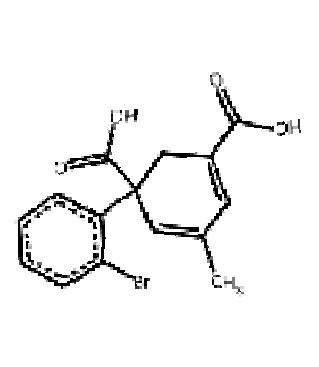 CC1=CC(C(=O)O)(c2ccccc2Br)CC(C(=O)O)=C1